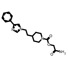 NC(=O)COC(=O)N1CCC(CCn2cnc(-c3ccccc3)c2)CC1